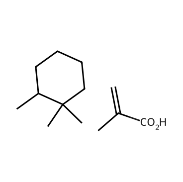 C=C(C)C(=O)O.CC1CCCCC1(C)C